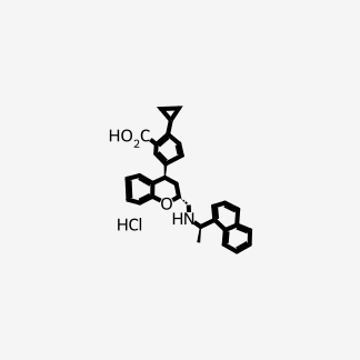 C[C@@H](NC[C@H]1C[C@H](c2ccc(C3CC3)c(C(=O)O)c2)c2ccccc2O1)c1cccc2ccccc12.Cl